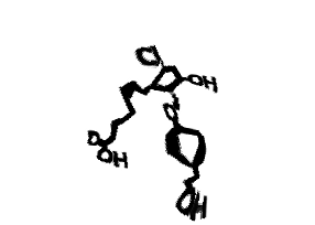 O=C(O)CCC/C=C\C[C@@H]1[C@@H](COc2ccc(CCO)cc2)[C@H](O)C[C@H]1Cl